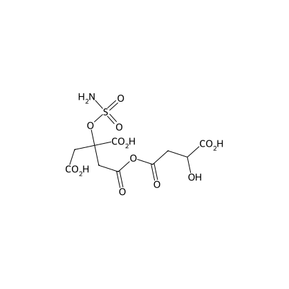 NS(=O)(=O)OC(CC(=O)O)(CC(=O)OC(=O)CC(O)C(=O)O)C(=O)O